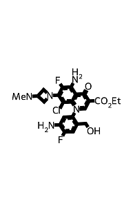 CCOC(=O)c1cn(-c2cc(N)c(F)cc2CO)c2c(Cl)c(N3CC(NC)C3)c(F)c(N)c2c1=O